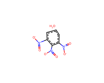 O.O=[N+]([O-])c1cccc([N+](=O)[O-])c1[N+](=O)[O-]